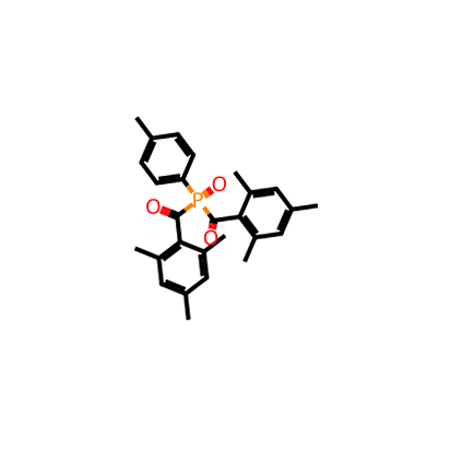 Cc1ccc(P(=O)(C(=O)c2c(C)cc(C)cc2C)C(=O)c2c(C)cc(C)cc2C)cc1